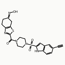 C#Cc1ccc2[nH]c(S(=O)(=O)N3CCN(C(=O)c4nc5c(s4)CC(=NO)CC5)CC3)cc2c1